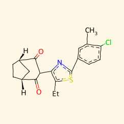 CCc1sc(-c2ccc(Cl)c(C)c2)nc1C1C(=O)[C@@H]2CC[C@@H](C2)C1=O